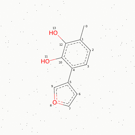 Cc1ccc(-c2ccoc2)c(O)c1O